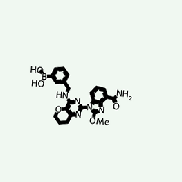 COc1nc2c(C(N)=O)cccc2n1-c1nc2c(c(NCc3cccc(B(O)O)c3)n1)OCCC2